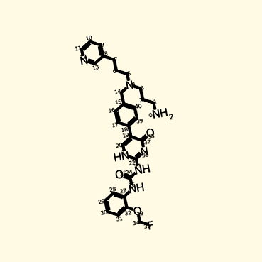 NCCCN(CCCc1cccnc1)Cc1ccc(-c2c[nH]c(NC(=O)Nc3ccccc3OCF)nc2=O)cc1